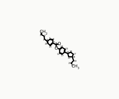 C=CCCc1ccc(C(=O)Oc2ccc(C3CCC(CCC)C3)cc2)cc1